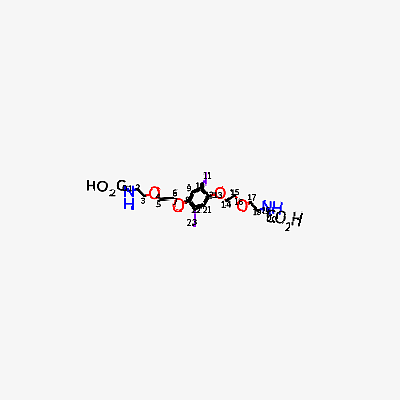 O=C(O)NCCOCCOc1cc(I)c(OCCOCCNC(=O)O)cc1I